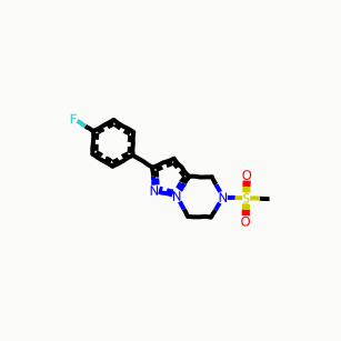 CS(=O)(=O)N1CCn2nc(-c3ccc(F)cc3)cc2C1